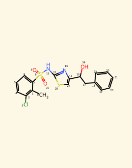 Cc1c(Cl)cccc1S(=O)(=O)Nc1nc(C(O)Cc2ccccc2)cs1